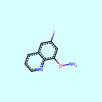 NOc1cc(I)cc2cccnc12